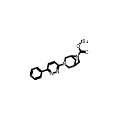 CC(C)(C)OC(=O)N1CC2CC1CN(c1ccc(-c3ccccc3)nn1)C2